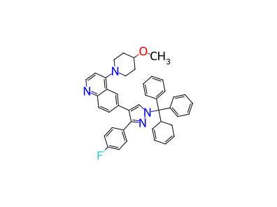 COC1CCN(c2ccnc3ccc(-c4cn(C(c5ccccc5)(c5ccccc5)C5C=CC=CC5)nc4-c4ccc(F)cc4)cc23)CC1